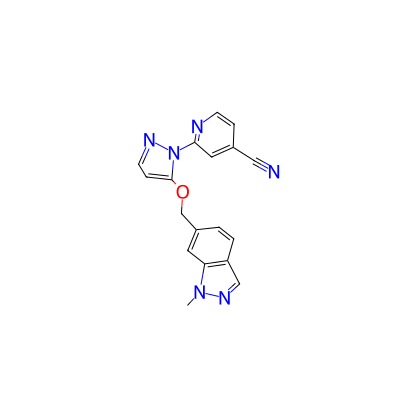 Cn1ncc2ccc(COc3ccnn3-c3cc(C#N)ccn3)cc21